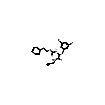 C#CCNC(=O)[C@H](Cc1cc(F)cc(F)c1)NC(=O)OCCc1ccccc1